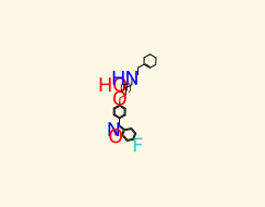 O[C@H](CNCCC1=CCCCC1)COc1ccc(-c2noc3cc(F)ccc23)cc1